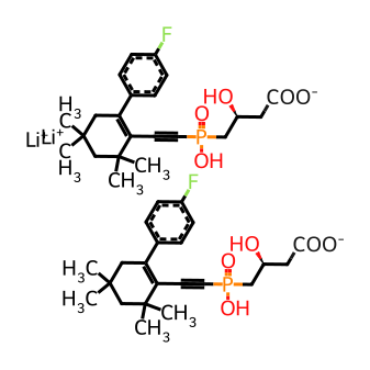 CC1(C)CC(c2ccc(F)cc2)=C(C#CP(=O)(O)C[C@@H](O)CC(=O)[O-])C(C)(C)C1.CC1(C)CC(c2ccc(F)cc2)=C(C#CP(=O)(O)C[C@@H](O)CC(=O)[O-])C(C)(C)C1.[Li+].[Li+]